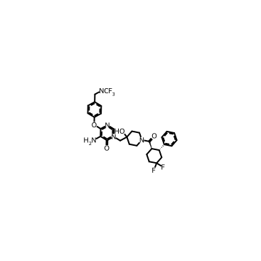 Nc1c(Oc2ccc(CNC(F)(F)F)cc2)ncn(CC2(O)CCN(C(=O)[C@@H]3CCC(F)(F)C[C@H]3c3ccccc3)CC2)c1=O